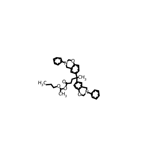 CCCCOC(C)OC(=O)CCC(C)(c1ccc2c(c1)CN(c1ccccc1)CO2)c1ccc2c(c1)CN(c1ccccc1)CO2